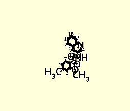 COc1cc(C)ccc1S(=O)(=O)Nc1cnc2ccccc2c1